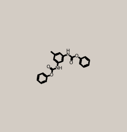 Cc1cc(NC(=O)Oc2ccccc2)cc(NC(=O)Oc2ccccc2)c1